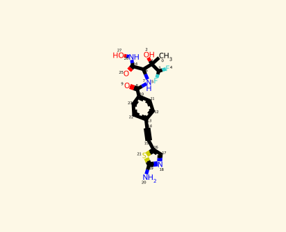 CC(O)(C(F)F)C(NC(=O)c1ccc(C#Cc2cnc(N)s2)cc1)C(=O)NO